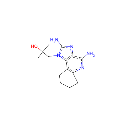 CC(C)(O)Cn1c(N)nc2c(N)nc3c(c21)CCCC3